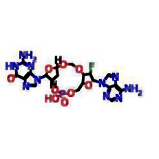 Nc1nc2c(ncn2C2O[C@H]3C[C@@H]2OP(=O)(O)OCC2OC(n4cnc5c(N)ncnc54)C(F)C2OCO3)c(=O)[nH]1